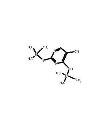 C[Si](C)(C)Nc1nc(S[Si](C)(C)C)ncc1C#N